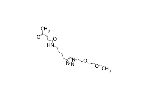 CCOCCOCCn1cc(CCCCNC(=O)/C=C/C(C)=O)nn1